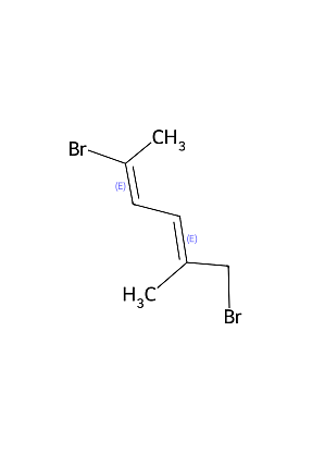 C/C(Br)=C\C=C(/C)CBr